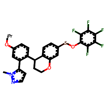 CC(C)Oc1ccc(C2CCOc3cc(SOc4c(F)c(F)c(F)c(F)c4F)ccc32)c(-c2ccnn2C)c1